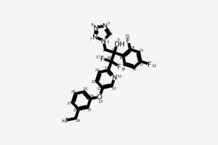 OC(Cn1cnnn1)(c1ccc(F)cc1F)C(F)(F)c1ccc(Oc2cccc(CI)c2)cn1